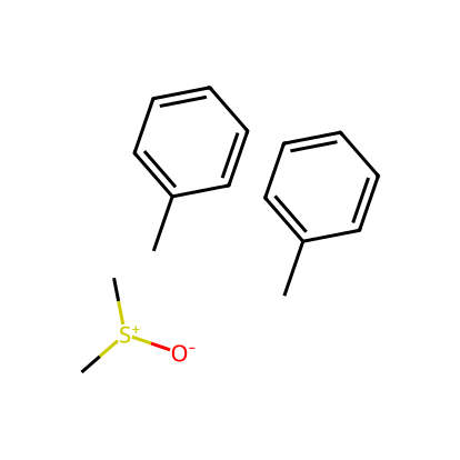 C[S+](C)[O-].Cc1ccccc1.Cc1ccccc1